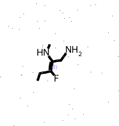 CC/C(F)=C(/CN)NC